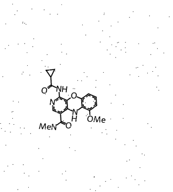 CNC(=O)c1cnc(NC(=O)C2CC2)c2c1Nc1c(OC)cccc1O2